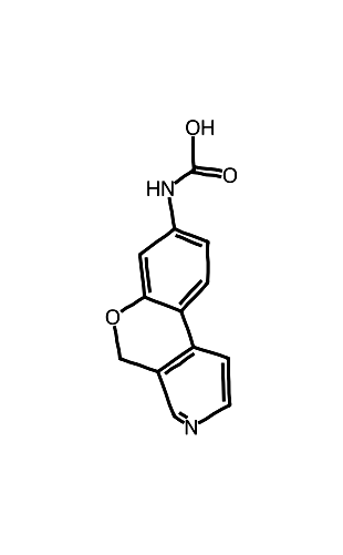 O=C(O)Nc1ccc2c(c1)OCc1cnccc1-2